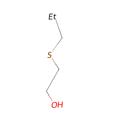 CCCSCCO